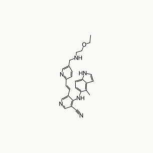 CCOCCNCc1ccc(/C=C/c2cncc(C#N)c2Nc2ccc3[nH]ccc3c2C)nc1